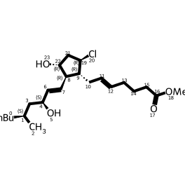 CCCC[C@H](C)C[C@H](O)C=C[C@@H]1[C@@H](CC=CCCCC(=O)OC)[C@H](Cl)C[C@H]1O